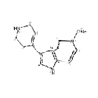 CON1C=Cc2[nH]cc(C3=CCNCC3)c2C1